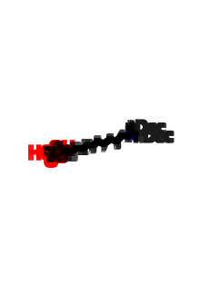 CCCCCCCCCCN(CCCCCCCCCC)CCCCCCCCCCCCOP(=O)(O)O